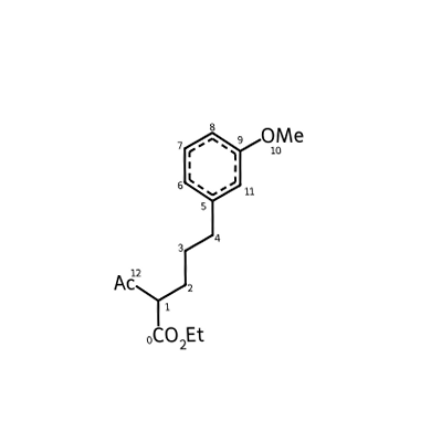 CCOC(=O)C(CCCc1cccc(OC)c1)C(C)=O